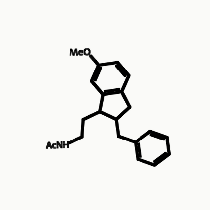 COc1ccc2c(c1)C(CCNC(C)=O)C(Cc1ccccc1)C2